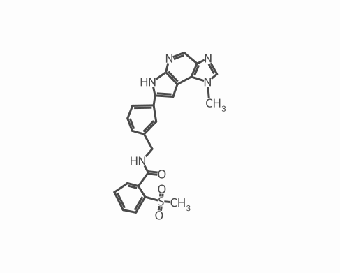 Cn1cnc2cnc3[nH]c(-c4cccc(CNC(=O)c5ccccc5S(C)(=O)=O)c4)cc3c21